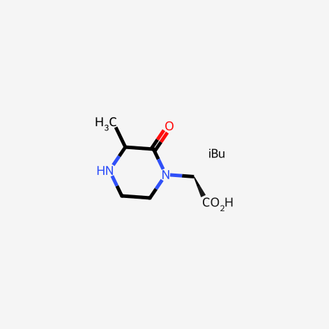 CC[C@H](C)[C@@H](C(=O)O)N1CCNC(C)C1=O